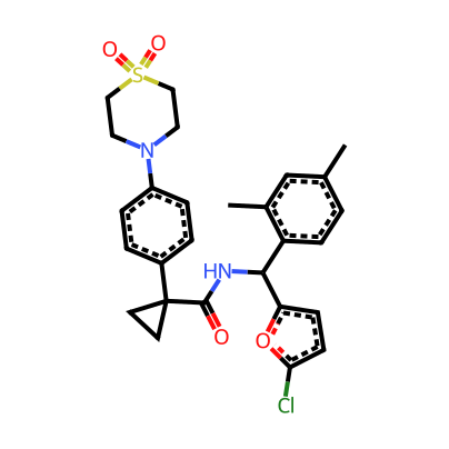 Cc1ccc(C(NC(=O)C2(c3ccc(N4CCS(=O)(=O)CC4)cc3)CC2)c2ccc(Cl)o2)c(C)c1